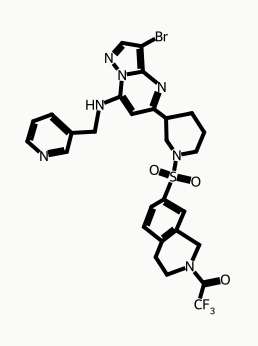 O=C(N1CCc2ccc(S(=O)(=O)N3CCCC(c4cc(NCc5cccnc5)n5ncc(Br)c5n4)C3)cc2C1)C(F)(F)F